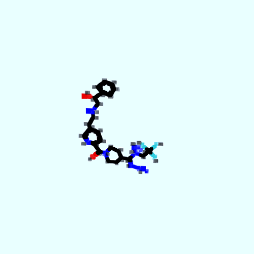 N/N=C(/C1CCN(C(=O)c2ccc(CCNC[C@H](O)c3ccccc3)cn2)CC1)N(N)CC(F)(F)F